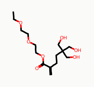 C=C(CCC(CO)(CO)CO)C(=O)OCCOCCOCC